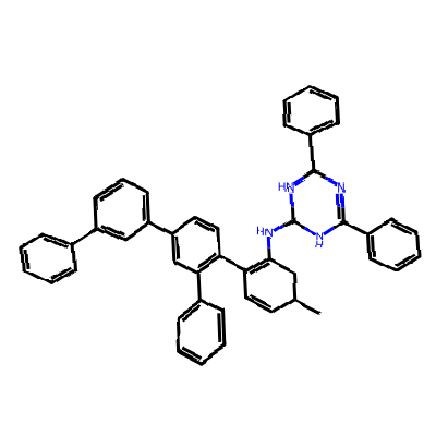 CC1C=CC(c2ccc(-c3cccc(-c4ccccc4)c3)cc2-c2ccccc2)=C(NC2NC(c3ccccc3)=NC(c3ccccc3)N2)C1